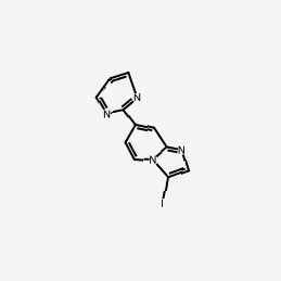 Ic1cnc2cc(-c3ncccn3)ccn12